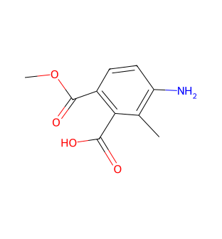 COC(=O)c1ccc(N)c(C)c1C(=O)O